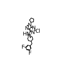 Fc1cc(F)cc(CC2CCN(Nc3nc(Cl)nc4c3ncn4C3CCCC3)CC2)c1